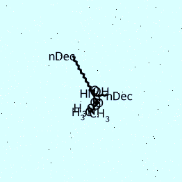 CCCCCCCCCCCCCCCCCCCCCCCCCCC(=O)N[C@@H](COP(=O)([O-])OCC[N+](C)(C)C)[C@H](O)CCCCCCCCCCCCCC